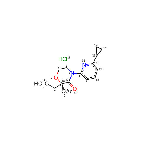 CC(=O)O[C@@]1(CC(=O)O)OCCN(c2cccc(C3CC3)n2)C1=O.Cl